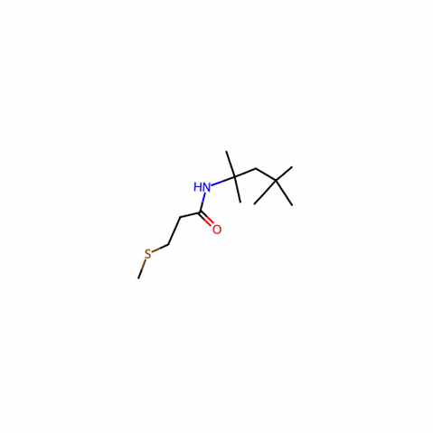 CSCCC(=O)NC(C)(C)CC(C)(C)C